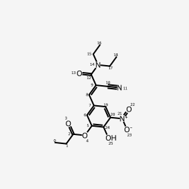 CCC(=O)Oc1cc(/C=C(\C#N)C(=O)N(CC)CC)cc([N+](=O)[O-])c1O